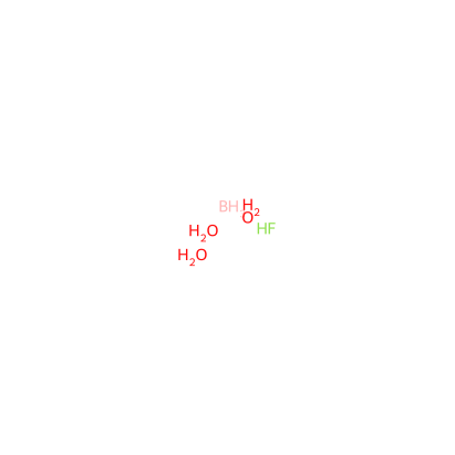 B.F.O.O.O